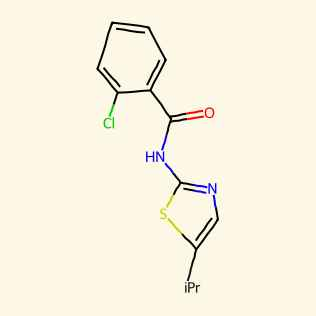 CC(C)c1cnc(NC(=O)c2ccccc2Cl)s1